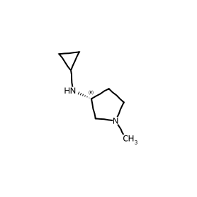 CN1CC[C@@H](NC2CC2)C1